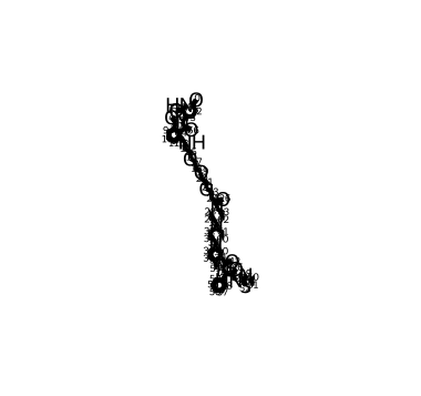 O=C1CCC(N2C(=O)c3cccc(NCCOCCOCCOCCC(=O)N4CCN(C5CCN(c6ccc7c(c6)C(=O)N(C(C(=O)Nc6nccs6)c6ccccc6)C7)CC5)CC4)c3C2=O)C(=O)N1